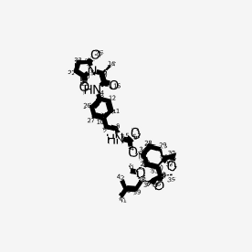 CO[C@@H]1[C@H](OC(=O)NCCc2ccc(NC(=O)[C@H](C)N3C(=O)CCC3=O)cc2)CC[C@]2(CO2)[C@H]1[C@@]1(C)O[C@@H]1CC=C(C)C